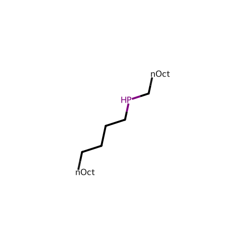 CCCCCCCCCCCCPCCCCCCCCC